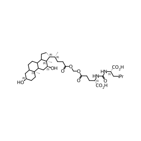 CC(C)C[C@H](NC(=O)N[C@@H](CCC(=O)OCOC(=O)CC[C@@H](C)[C@H]1CCC2C3CCC4C[C@H](O)CC[C@]4(C)C3C[C@H](O)[C@@]21C)C(=O)O)C(=O)O